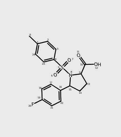 Cc1ccc(S(=O)(=O)N2C(C(=O)O)CCC2c2ccc(F)cc2)cc1